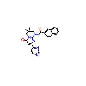 CC1(C)CN(CC(=O)c2ccc3ccccc3c2)c2nc(-c3ccncn3)cc(=O)n2C1